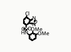 COc1cccc(NS(=O)(=O)c2ccc(Cl)c3nonc23)c1OC